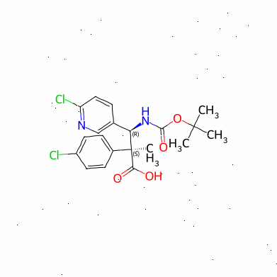 CC(C)(C)OC(=O)N[C@H](c1ccc(Cl)nc1)[C@@](C)(C(=O)O)c1ccc(Cl)cc1